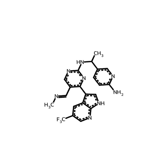 CN=Cc1cnc(NC(C)c2ccc(N)nc2)nc1-c1c[nH]c2ncc(C(F)(F)F)cc12